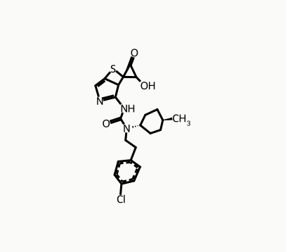 C[C@H]1CC[C@H](N(CCc2ccc(Cl)cc2)C(=O)NC2=NC=C3SC4(C(=O)C4O)C32)CC1